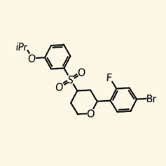 CC(C)Oc1cccc(S(=O)(=O)C2CCOC(c3ccc(Br)cc3F)C2)c1